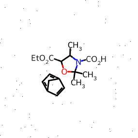 C1=CC2=CC=C1C2.CCOC(=O)C1OC(C)(C)N(C(=O)O)C1C